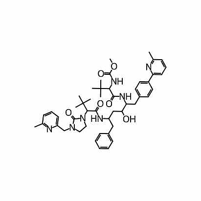 COC(=O)NC(C(=O)NC(Cc1ccc(-c2cccc(C)n2)cc1)C(O)CC(Cc1ccccc1)NC(=O)C(N1CCN(Cc2cccc(C)n2)C1=O)C(C)(C)C)C(C)(C)C